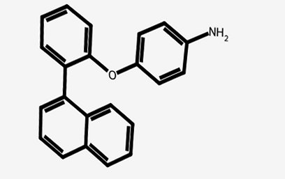 Nc1ccc(Oc2ccccc2-c2cccc3ccccc23)cc1